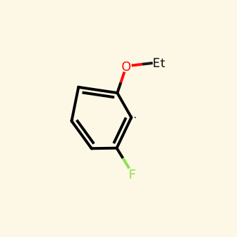 CCOc1[c]c(F)ccc1